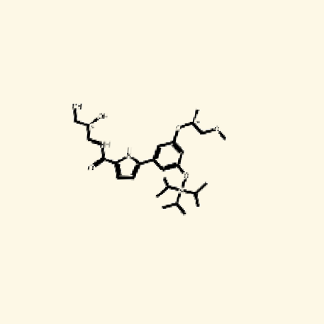 COC[C@H](C)Oc1cc(O[Si](C(C)C)(C(C)C)C(C)C)cc(-c2ccc(C(=O)NC[C@H](O)CO)[nH]2)c1